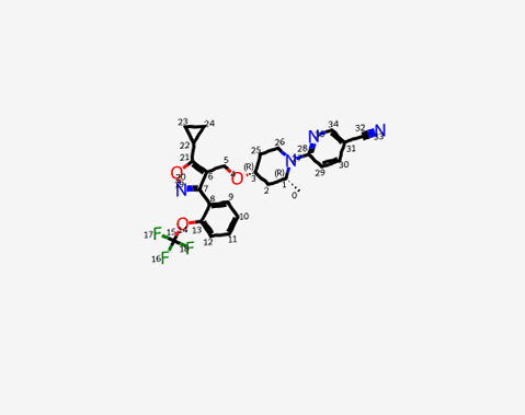 C[C@@H]1C[C@H](OCc2c(-c3ccccc3OC(F)(F)F)noc2C2CC2)CCN1c1ccc(C#N)cn1